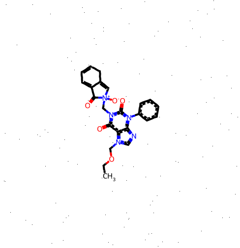 CCOCn1cnc2c1c(=O)n(C[N+]1([O-])C=C3CC=CC=C3C1=O)c(=O)n2-c1ccccc1